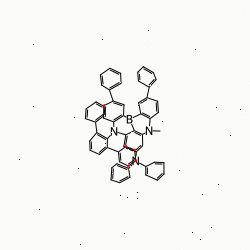 CN1c2ccc(-c3ccccc3)cc2B2c3cc(-c4ccccc4)ccc3N(c3c(-c4ccccc4)cccc3-c3ccccc3)c3cc(N(c4ccccc4)c4ccccc4)cc1c32